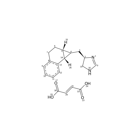 C1=N[C@H](CC2[C@H]3CCc4ccccc4[C@@H]23)CN1.O=C(O)C=CC(=O)O